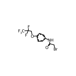 O=C(CBr)Nc1ccc(OCC(F)(F)C(F)(F)F)cc1